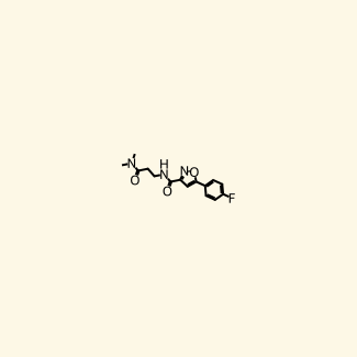 CN(C)C(=O)CCNC(=O)c1cc(-c2ccc(F)cc2)on1